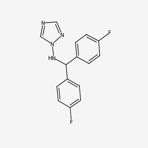 Fc1ccc(C(Nn2cncn2)c2ccc(F)cc2)cc1